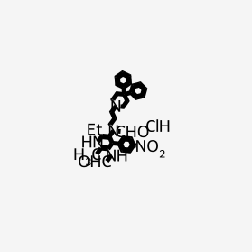 CCC1=C(N(C=O)CCCN2CCC(c3ccccc3)(c3ccccc3)CC2)C(c2ccc([N+](=O)[O-])cc2)C(NC=O)=C(C)N1.Cl